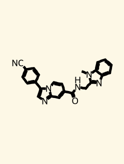 Cn1c(CNC(=O)c2ccn3c(-c4ccc(C#N)cc4)cnc3c2)nc2ccccc21